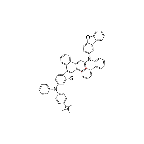 C[Si](C)(C)c1ccc(N(c2ccccc2)c2ccc3c(c2)sc2c4ccc(N(c5ccc6oc7ccccc7c6c5)c5ccccc5-c5ccccc5)cc4c4ccccc4c32)cc1